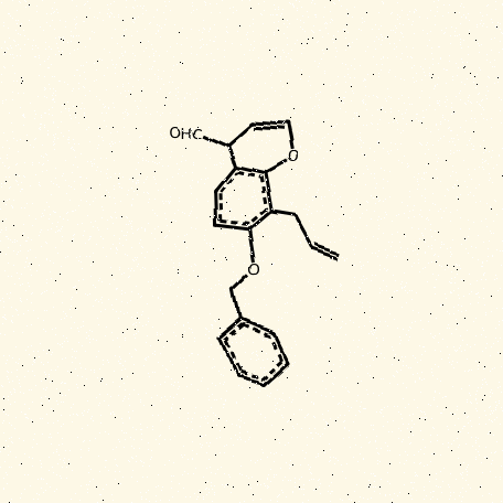 C=CCc1c(OCc2ccccc2)ccc2c1OC=CC2C=O